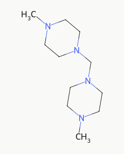 CN1CCN(CN2CCN(C)CC2)CC1